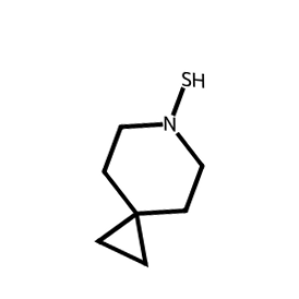 SN1CCC2(CC1)CC2